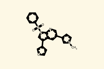 Cn1ccc(-c2cnc3c(c2)c(-c2ccoc2)cn3S(=O)(=O)c2ccccc2)c1